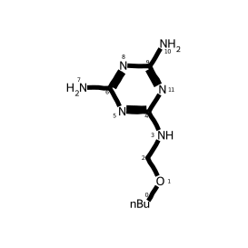 CCCCOCNc1nc(N)nc(N)n1